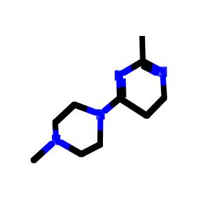 CC1=NCCC(N2CCN(C)CC2)=N1